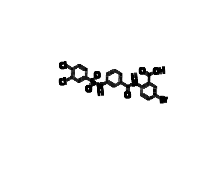 O=C(Nc1ccc(Br)cc1C(=O)O)c1cccc(NS(=O)(=O)c2ccc(Cl)c(Cl)c2)c1